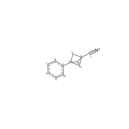 N#CC12CC(c3ccccc3)(C1)C2